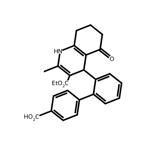 CCOC(=O)C1=C(C)NC2=C(C(=O)CCC2)C1c1ccccc1-c1ccc(C(=O)O)cc1